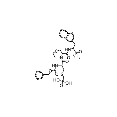 NC(=O)C(Cc1ccc2ccccc2c1)NC(=O)C1CCCCN1C(=O)C(CSCP(=O)(O)O)NC(=O)OCc1ccccc1